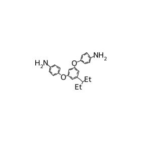 CCC(CC)c1cc(Oc2ccc(N)cc2)cc(Oc2ccc(N)cc2)c1